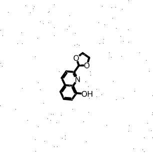 Oc1cccc2ccc(C3OCCO3)nc12